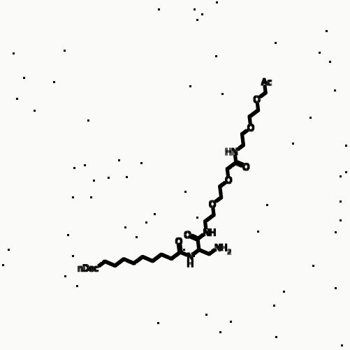 CCCCCCCCCCCCCCCCCCC(=O)NC(CN)C(=O)NCCOCCOCC(=O)NCCOCCOCC(C)=O